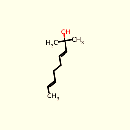 CC=CCCC=CC(C)(C)O